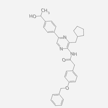 CC(O)c1ccc(-c2cnc(NC(=O)Cc3ccc(OCc4ccccc4)cc3)c(CC3CCCC3)n2)cc1